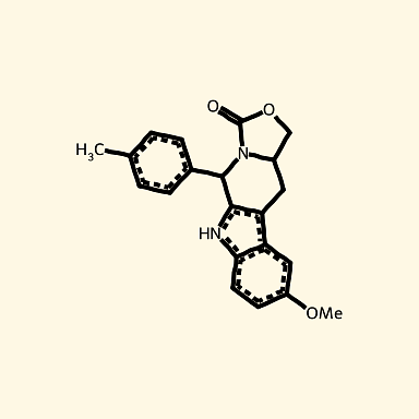 COc1ccc2[nH]c3c(c2c1)CC1COC(=O)N1C3c1ccc(C)cc1